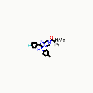 CN[C@H](C(=O)N1CCn2c(nc(-c3ccc(F)cc3)c2Nc2ccc(C)cc2)C1)C(C)C